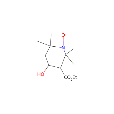 CCOC(=O)C1C(O)CC(C)(C)N([O])C1(C)C